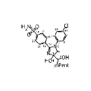 CCCCCC(O)C1(O)CN(c2ccc(Cl)cc2)C(c2ccc(S(N)(=O)=O)cc2)=N1